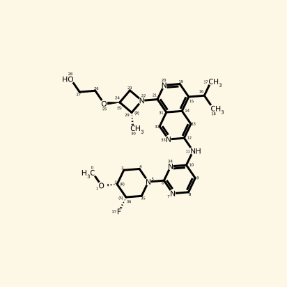 CO[C@@H]1CCN(c2nccc(Nc3cc4c(C(C)C)cnc(N5C[C@H](OCCO)[C@H]5C)c4cn3)n2)C[C@@H]1F